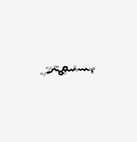 CC#CCC(C)C(O)/C=C/C1CCC2Oc3c(CCCC(=O)OCCCCCCO[N+](=O)[O-])cccc3C12